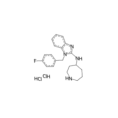 Cl.Cl.Fc1ccc(Cn2c(NC3CCCNCC3)nc3ccccc32)cc1